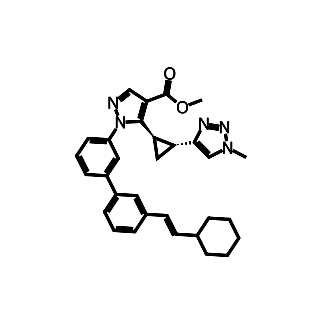 COC(=O)c1cnn(-c2cccc(-c3cccc(/C=C/C4CCCCC4)c3)c2)c1[C@@H]1C[C@H]1c1cn(C)nn1